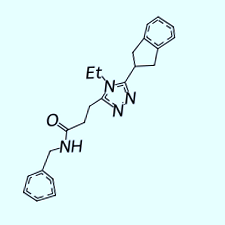 CCn1c(CCC(=O)NCc2ccccc2)nnc1C1Cc2ccccc2C1